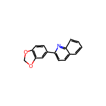 [c]1cccc2ccc(-c3ccc4c(c3)OCO4)nc12